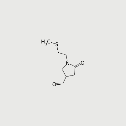 CSCCN1CC(C=O)CC1=O